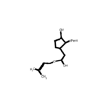 CCCCCC1C(O)CCC1CC(O)OCC=C(C)C